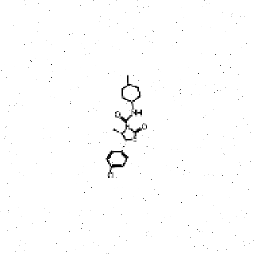 CC1CCC(NC(=O)N2C(=O)S[C@H](c3ccc(Cl)cc3)[C@H]2C)CC1